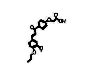 CCCOc1ccc(C=CC(=O)c2ccc(OCC(=O)O)cc2)cc1OC